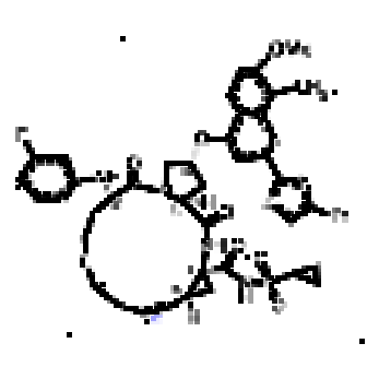 COc1ccc2c(O[C@@H]3C[C@H]4C(=O)N[C@]5(C(=O)NS(=O)(=O)C6CC6)C[C@H]5/C=C\CCCCC[C@H](Nc5cccc(F)c5)C(=O)N4C3)cc(-c3nc(C(C)C)cs3)nc2c1C